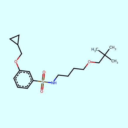 CC(C)(C)COCCCCNS(=O)(=O)c1cccc(OCC2CC2)c1